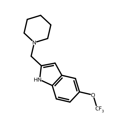 FC(F)(F)Oc1ccc2[nH]c(CN3CCCCC3)cc2c1